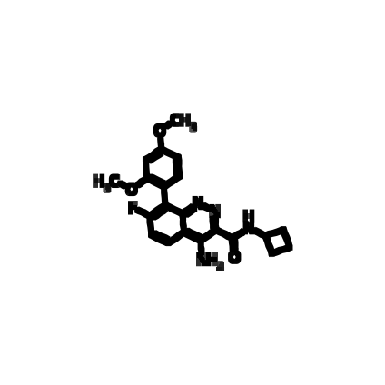 COc1ccc(-c2c(F)ccc3c(N)c(C(=O)NC4CCC4)nnc23)c(OC)c1